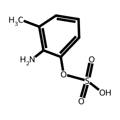 Cc1cccc(OS(=O)(=O)O)c1N